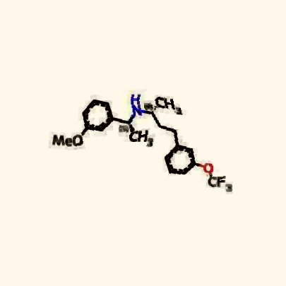 COc1cccc([C@H](C)N[C@H](C)CCc2cccc(OC(F)(F)F)c2)c1